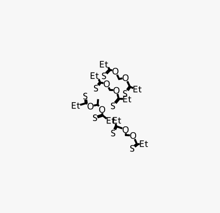 CCC(=S)OC(C)OC(=S)CC.CCC(=S)OCOC(=S)CC.CCC(=S)OCOC(=S)CC.CCC(=S)OCOC(=S)CC